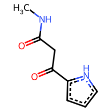 CNC(=O)CC(=O)c1ccc[nH]1